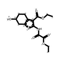 CCOC(=O)C(=O)Nc1sc2c(c1C(=O)OCC)CCC(O)C2